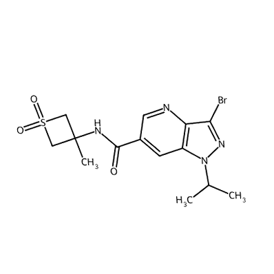 CC(C)n1nc(Br)c2ncc(C(=O)NC3(C)CS(=O)(=O)C3)cc21